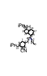 C=N/C=C(\SCc1ccc(CC(C)C)c(C#N)c1)c1cccc2c1CCC2NC(C)C